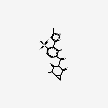 Cc1cc(-c2c(S(C)(=O)=O)ccc(C(=O)C3C(=O)C(C)C4CC4C3=O)c2C)on1